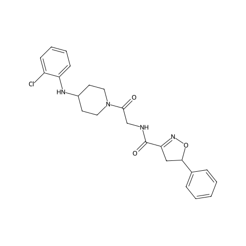 O=C(NCC(=O)N1CCC(Nc2ccccc2Cl)CC1)C1=NOC(c2ccccc2)C1